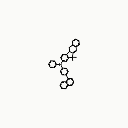 CC1(C)C2=Cc3ccccc3CC2c2ccc(N(c3ccccc3)c3ccc(-c4cccc5ccccc45)cc3)cc21